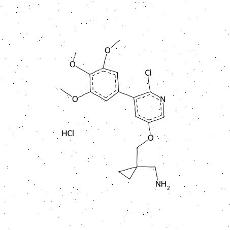 COc1cc(-c2cc(OCC3(CN)CC3)cnc2Cl)cc(OC)c1OC.Cl